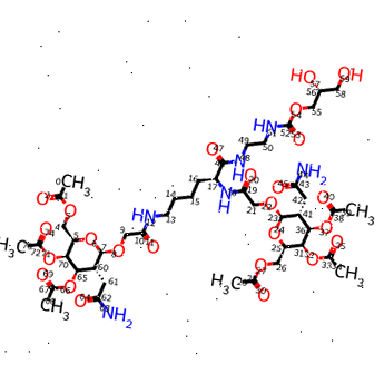 CC(=O)OC[C@H]1O[C@@H](OCC(=O)NCCCC[C@H](NC(=O)CO[C@@H]2O[C@H](COC(C)=O)[C@H](OC(C)=O)[C@H](OC(C)=O)[C@H]2CC(N)=O)C(=O)NCCNC(=O)OC[C@H](O)CO)[C@H](CC(N)=O)[C@@H](OC(C)=O)[C@H]1OC(C)=O